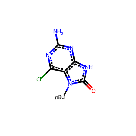 CCCCn1c(=O)[nH]c2nc(N)nc(Cl)c21